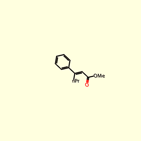 CCCC(=CC(=O)OC)c1ccccc1